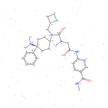 CNC(=O)c1ccc(NC(=O)CN2C[C@]3(CC[C@](c4ccccc4)(N(C)C)CC3)N(CC3CCC3)C2=O)nc1